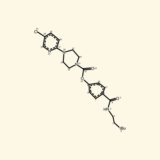 CC(C)(C)CCNC(=O)c1ccc(OC(=O)N2CCN(c3ccc(Cl)cn3)CC2)cc1